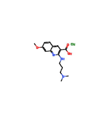 COc1ccc2cc(C(=O)O)c(NCCCN(C)C)nc2c1.Cl